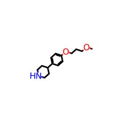 COCCCOc1ccc(C2CCNCC2)cc1